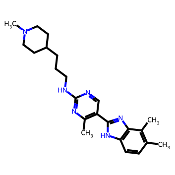 Cc1ccc2[nH]c(-c3cnc(NCCCC4CCN(C)CC4)nc3C)nc2c1C